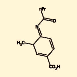 CCCC(=O)N=C1C=CC(C(=O)O)=CC1C